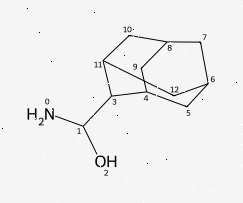 NC(O)C1C2CC3CC(C2)CC1C3